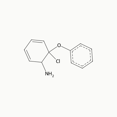 NC1C=CC=CC1(Cl)Oc1ccccc1